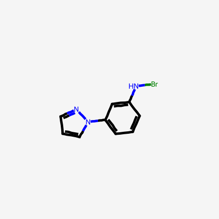 BrNc1cccc(-n2cccn2)c1